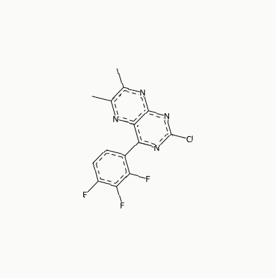 Cc1nc2nc(Cl)nc(-c3ccc(F)c(F)c3F)c2nc1C